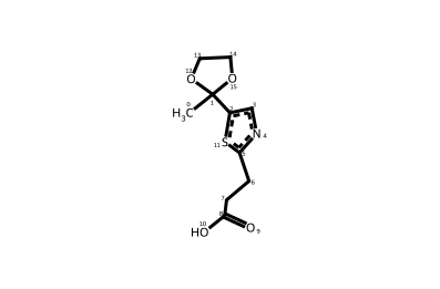 CC1(c2cnc(CCC(=O)O)s2)OCCO1